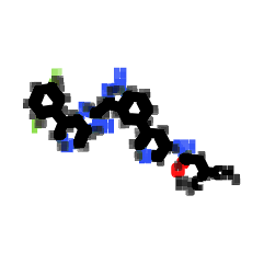 CC(C)CC(=O)Nc1cncc(-c2ccc3[nH]nc(-c4nc5c(-c6cc(F)ccc6F)cncc5[nH]4)c3c2)c1